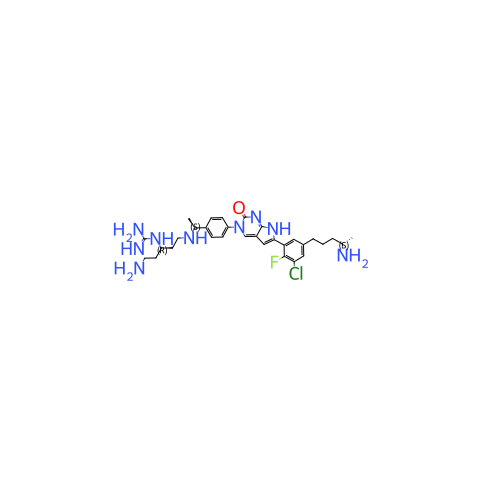 C[C@H](N)CCCc1cc(Cl)c(F)c(-c2cc3cn(-c4ccc([C@H](C)NCC[C@@H](CCN)NC(=N)N)cc4)c(=O)nc3[nH]2)c1